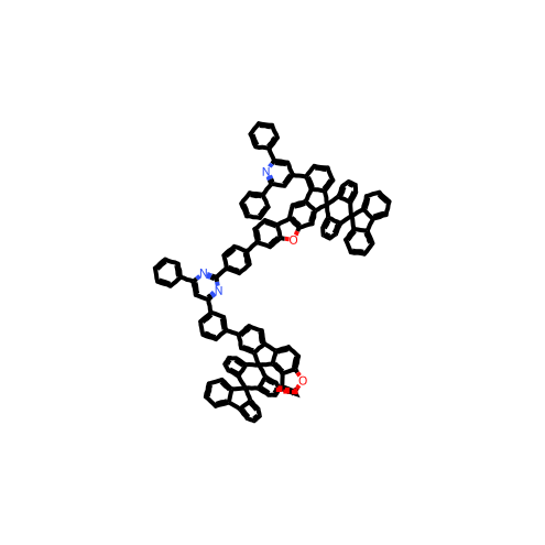 c1ccc(-c2cc(-c3cccc4c3-c3cc5c(cc3C43c4ccccc4C4(c6ccccc6-c6ccccc64)c4ccccc43)oc3cc(-c4ccc(-c6nc(-c7ccccc7)cc(-c7cccc(-c8ccc9c(c8)C8(c%10ccccc%10C%10(c%11ccccc%11-c%11ccccc%11%10)c%10ccccc%108)c8c-9ccc9oc%10ccccc%10c89)c7)n6)cc4)ccc35)cc(-c3ccccc3)n2)cc1